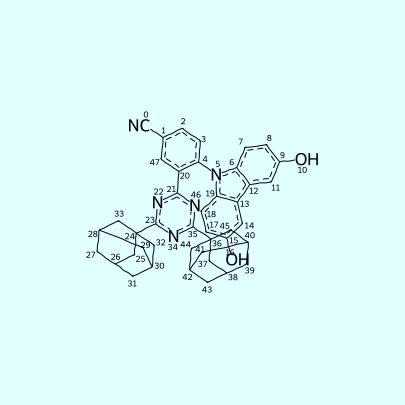 N#Cc1ccc(-n2c3ccc(O)cc3c3cc(O)ccc32)c(-c2nc(C34CC5CC(CC(C5)C3)C4)nc(C34CC5CC(CC(C5)C3)C4)n2)c1